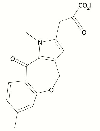 Cc1ccc2c(c1)OCc1cc(CC(=O)C(=O)O)n(C)c1C2=O